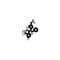 CN(C)Cc1ccc(C2C3=c4c(cc(F)cc4=NC2c2ccccc2)C(=O)NN3)cc1